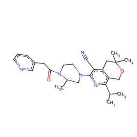 CC(C)c1nc(N2CCN(C(=O)Cc3cccnc3)C(C)C2)c(C#N)c2c1COC(C)(C)C2